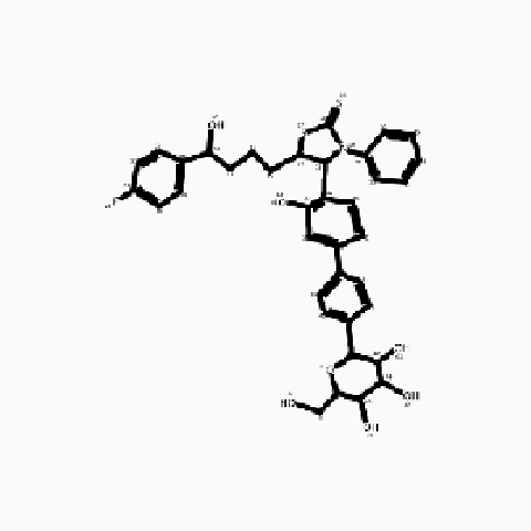 OCC1OC(c2ccc(-c3ccc(C4C(CCCC(O)c5ccc(F)cc5)SC(=S)N4c4ccccc4)c(O)c3)cc2)C(O)C(O)C1O